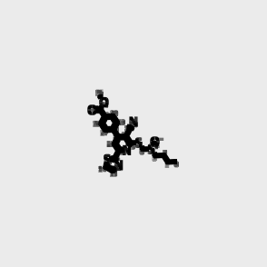 CCCC[S+]([O-])CSc1nc(-c2nccs2)cc(-c2ccc(C(=O)OC)cc2)c1C#N